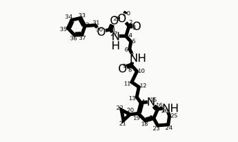 COC(=O)C(CCNC(=O)CCCCc1nc2c(cc1C1CC1)CCCN2)NC(=O)OCc1ccccc1